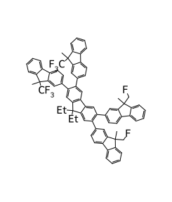 CCC1(CC)c2cc(-c3ccc4c(c3)C(C)(CF)c3ccccc3-4)c(-c3ccc4c(c3)C(C)(CF)c3ccccc3-4)cc2-c2cc(-c3ccc4c(c3)C(C)(C(F)(F)F)c3ccccc3-4)c(-c3ccc4c(c3)C(C)(C(F)(F)F)c3ccccc3-4)cc21